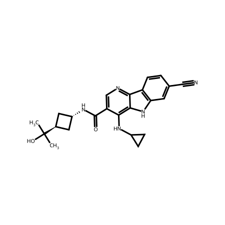 CC(C)(O)[C@H]1C[C@H](NC(=O)c2cnc3c([nH]c4cc(C#N)ccc43)c2NC2CC2)C1